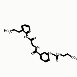 O=C(O)CCNC(=O)Nc1cccc(C(=O)NCC(=O)Nc2ncccc2CCC(=O)O)c1